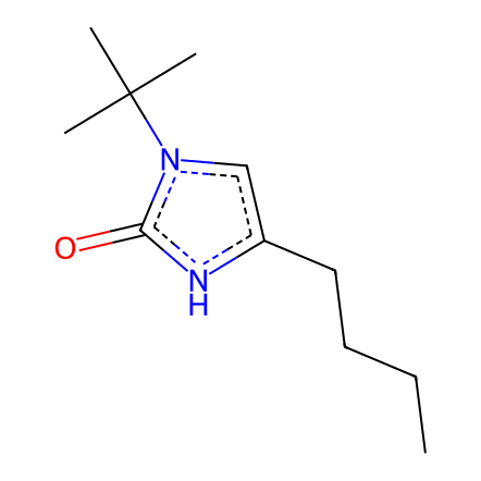 CCCCc1cn(C(C)(C)C)c(=O)[nH]1